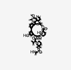 CCn1c(-c2cccnc2[C@H](C)OC)c2c3cc(ccc31)-c1cc(O)cc(c1)C[C@H](NC(=O)[C@H](C(C)C)N1CCCC3(CN(C(=O)[C@@H]4CN4)C3)C1)C(=O)N1CCC[C@H](N1)C(=O)OCC(C)(C)C2